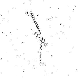 C=C=C=C=C=C=C=C=C=C=C=Cc1c(Br)sc2cc3c(CCCCCCCCCCCC)c(Br)sc3cc12